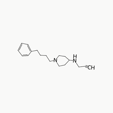 C#CCNC1CCN(CCCCc2ccccc2)CC1